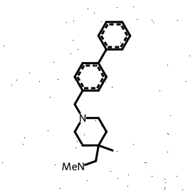 CNCC1(C)CCN(Cc2ccc(-c3ccccc3)cc2)CC1